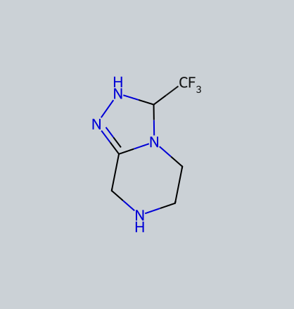 FC(F)(F)C1NN=C2CNCCN21